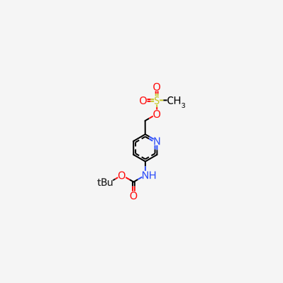 CC(C)(C)OC(=O)Nc1ccc(COS(C)(=O)=O)nc1